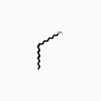 CCCC/C=C/C=C/C=C\CCCCCCCN